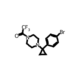 O=C(N1CCN(C2(c3ccc(Br)cc3)CC2)CC1)C(F)(F)F